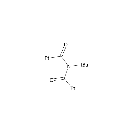 CCC(=O)N(C(=O)CC)C(C)(C)C